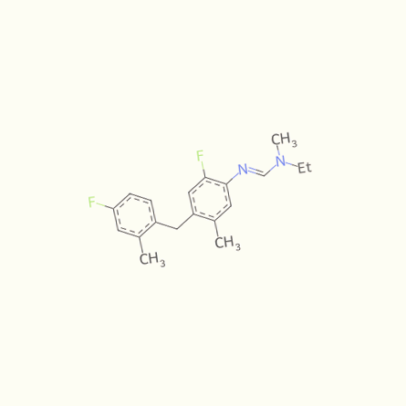 CCN(C)/C=N/c1cc(C)c(Cc2ccc(F)cc2C)cc1F